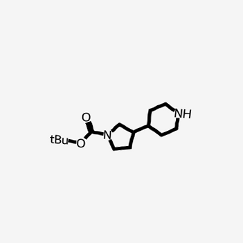 CC(C)(C)OC(=O)N1CCC(C2CCNCC2)C1